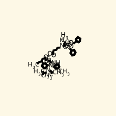 CCC(CC(=O)OCOC(=O)CCCCNC(=O)C(C)OP(=O)(OCc1ccccc1)OCc1ccccc1)c1ccc(N(CC(C)C)CC(C)C)c(NC(=O)Nc2ccc(C)cc2)c1